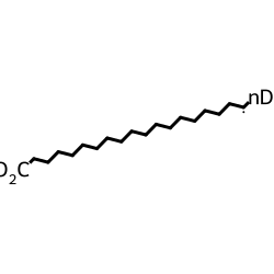 [CH2]CCCCCCCCC[CH]CCCCCCCCCCCCCCCCCC(=O)O